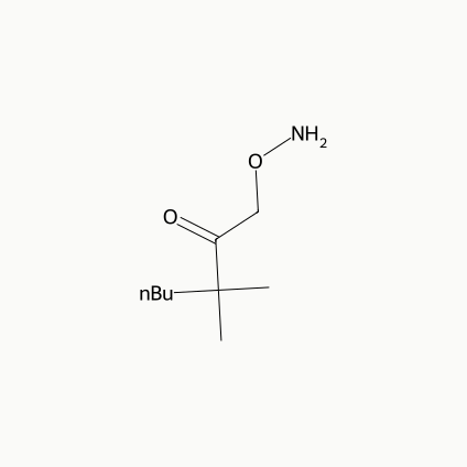 CCCCC(C)(C)C(=O)CON